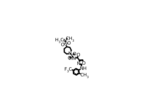 Cc1ccc(C(F)(F)F)cc1Nc1nc(C(=O)NS(=O)(=O)N2CCCC(S(=O)(=O)N(C)C)CC2)co1